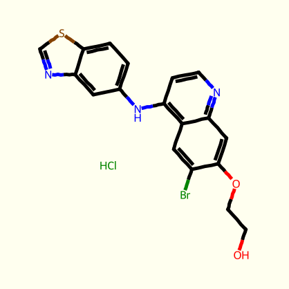 Cl.OCCOc1cc2nccc(Nc3ccc4scnc4c3)c2cc1Br